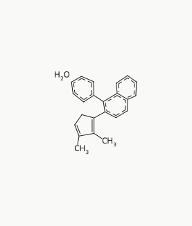 CC1=CCC(c2ccc3ccccc3c2-c2ccccc2)=C1C.O